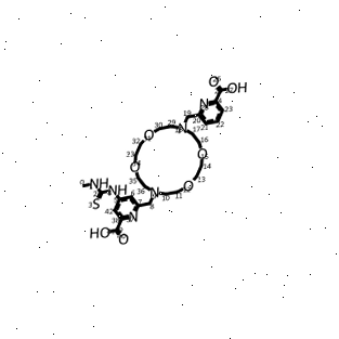 CNC(=S)Nc1cc(CN2CCOCCOCCN(Cc3cccc(C(=O)O)n3)CCOCCOCC2)nc(C(=O)O)c1